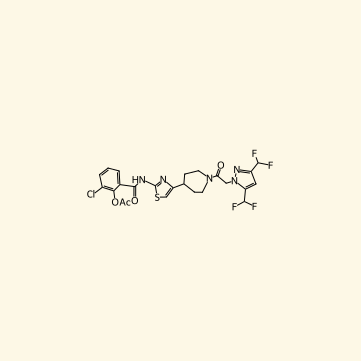 CC(=O)Oc1c(Cl)cccc1C(=O)Nc1nc(C2CCN(C(=O)Cn3nc(C(F)F)cc3C(F)F)CC2)cs1